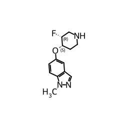 Cn1ncc2cc(O[C@H]3CCNC[C@H]3F)ccc21